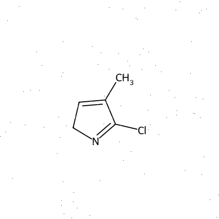 CC1=CCN=C1Cl